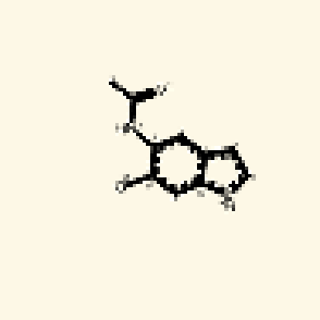 CC(=O)Nc1cc2[c]c[nH]c2cc1Cl